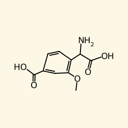 COc1cc(C(=O)O)ccc1C(N)C(=O)O